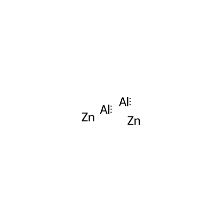 [Al].[Al].[Zn].[Zn]